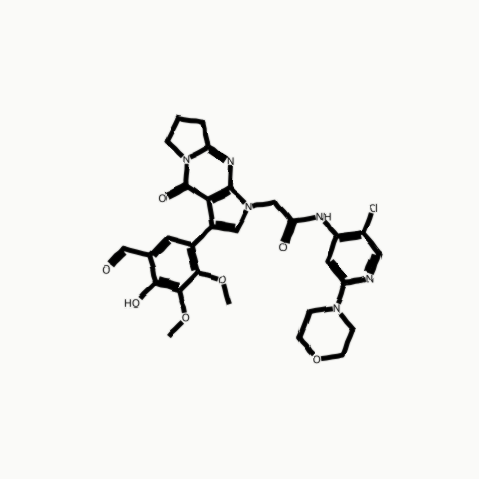 COc1c(-c2cn(CC(=O)Nc3cc(N4CCOCC4)ncc3Cl)c3nc4n(c(=O)c23)CCC4)cc(C=O)c(O)c1OC